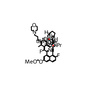 COCOc1cc(-c2nc3c4c(nc(CCCN5CCOCC5)c(C)c4c2F)N2C[C@H]4CC[C@@H]([C@H]2[C@H](C)O3)N4C(=O)OC(C)(C)C)c2c(C#C[Si](C(C)C)(C(C)C)C(C)C)c(F)ccc2c1